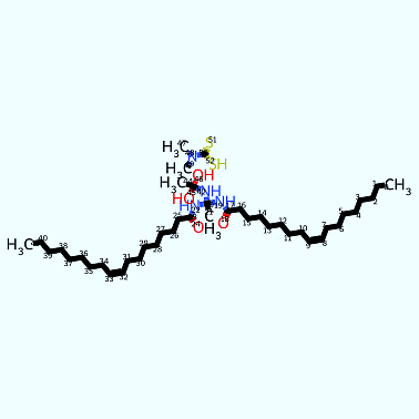 CCCCCCCC/C=C\CCCCCCCC(=O)NC(C)(NC(=O)CCCCCCC/C=C\CCCCCCCC)NC(C)(O)O.CN(C)C(=S)S